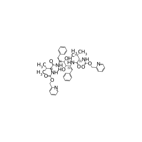 CC(C)[C@H](NC(=O)OCc1ccccn1)C(=O)N[C@@H](Cc1ccccc1)C(O)C(O)[C@H](Cc1ccccc1)NC(=O)[C@@H](NC(=O)OCc1ccccn1)C(C)C